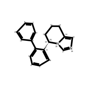 c1ccc(-c2ccccc2[C@@H]2CCCc3cncn32)cc1